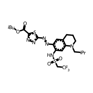 CCC(C)OC(=O)c1nnc(N=Nc2cc3c(cc2NS(=O)(=O)CC(F)(F)F)N(CC(C)C)CCC3)s1